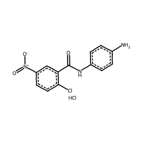 Cl.Nc1ccc(NC(=O)c2cc([N+](=O)[O-])ccc2Cl)cc1